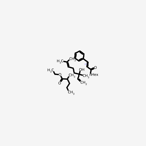 C=CC(C)(O)CCC=C(C)C.CCCC(C)C(=O)OCC.CCCCCCC(=O)/C=C/c1ccccc1